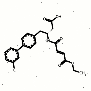 CCOC(=O)C=CC(=O)N[C@@H](CC(=O)O)Cc1ccc(-c2cccc(Cl)c2)cc1